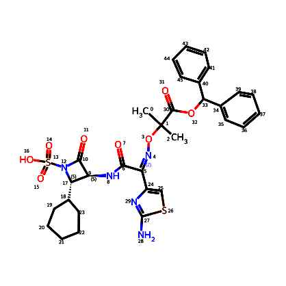 CC(C)(O/N=C(\C(=O)N[C@@H]1C(=O)N(S(=O)(=O)O)[C@H]1C1CCCCC1)c1csc(N)n1)C(=O)OC(c1ccccc1)c1ccccc1